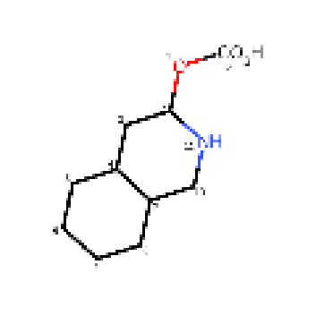 O=C(O)OC1CC2CCCCC2CN1